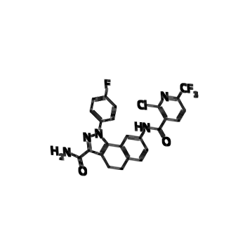 NC(=O)c1nn(-c2ccc(F)cc2)c2c1CCc1ccc(NC(=O)c3ccc(C(F)(F)F)nc3Cl)cc1-2